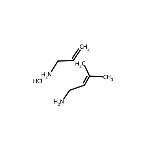 C=CCN.CC(C)=CCN.Cl